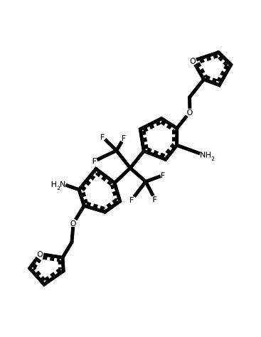 Nc1cc(C(c2ccc(OCc3ccco3)c(N)c2)(C(F)(F)F)C(F)(F)F)ccc1OCc1ccco1